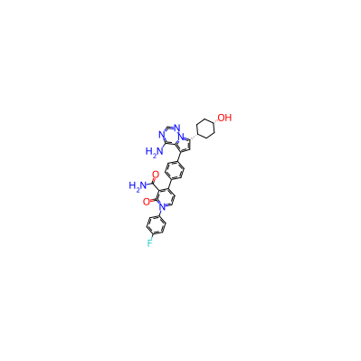 NC(=O)c1c(-c2ccc(-c3cc([C@H]4CC[C@@H](O)CC4)n4ncnc(N)c34)cc2)ccn(-c2ccc(F)cc2)c1=O